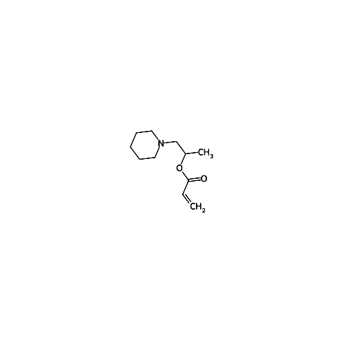 C=CC(=O)OC(C)CN1CCCCC1